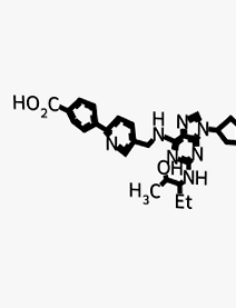 CCC(Nc1nc(NCc2ccc(-c3ccc(C(=O)O)cc3)nc2)c2ncn(C3CCCC3)c2n1)C(C)O